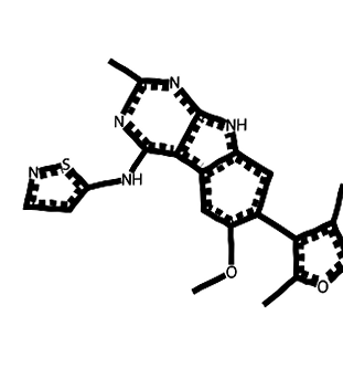 COc1cc2c(cc1-c1c(C)noc1C)[nH]c1nc(C)nc(Nc3ccns3)c12